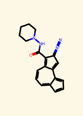 [N-]=[N+]=C1C=c2c3cccc-3cccc2=C1C(=O)NN1CCCCC1